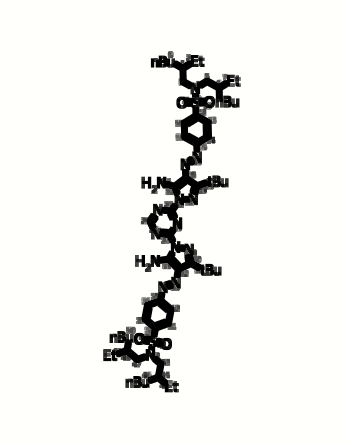 CCCCC(CC)CN(CC(CC)CCCC)S(=O)(=O)c1ccc(/N=N/c2c(C(C)(C)C)nn(-c3ncnc(-n4nc(C(C)(C)C)c(/N=N/c5ccc(S(=O)(=O)N(CC(CC)CCCC)CC(CC)CCCC)cc5)c4N)n3)c2N)cc1